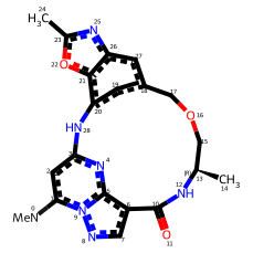 CNc1cc2nc3c(cnn13)C(=O)N[C@H](C)COCc1cc(c3oc(C)nc3c1)N2